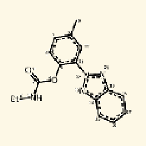 CCNC(=O)Oc1ccc(C)cc1-n1nc2ccccc2n1